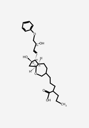 CCCC(CCCC1CC[C@@H]2[C@@H](C=C[C@@H](O)COc3ccccc3)[C@H](O)C[C@@H]2OC1)C(=O)O